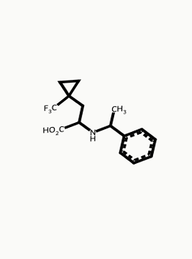 CC(NC(CC1(C(F)(F)F)CC1)C(=O)O)c1ccccc1